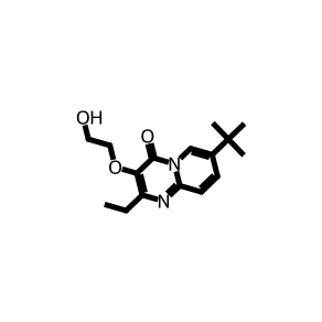 CCc1nc2ccc(C(C)(C)C)cn2c(=O)c1OCCO